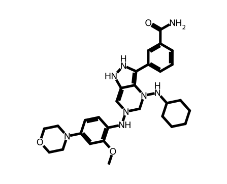 COc1cc(N2CCOCC2)ccc1NN1C=C2NNC(c3cccc(C(N)=O)c3)=C2N(NC2CCCCC2)C1